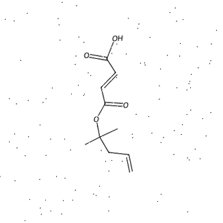 C=CCC(C)(C)OC(=O)/C=C/C(=O)O